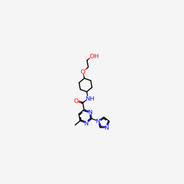 Cc1cc(C(=O)NC2CCC(OCCO)CC2)nc(-n2ccnc2)n1